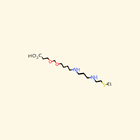 CCSCCNCCCNCCCCOCOCCC(=O)O